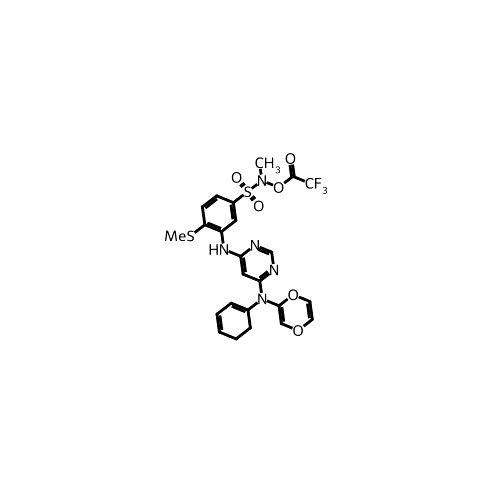 CSc1ccc(S(=O)(=O)N(C)OC(=O)C(F)(F)F)cc1Nc1cc(N(C2=CC=CCC2)C2=COC=CO2)ncn1